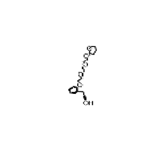 OC#CCc1ccccc1OCCOCCOCCO[C@H]1CCCCO1